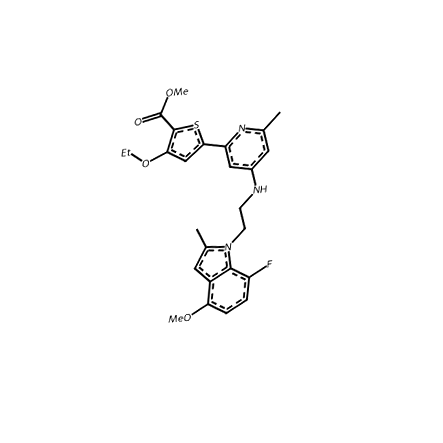 CCOc1cc(-c2cc(NCCn3c(C)cc4c(OC)ccc(F)c43)cc(C)n2)sc1C(=O)OC